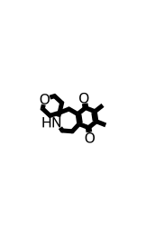 CC1=C(C)C(=O)C2=C(CCNC3(CCOCC3)C2)C1=O